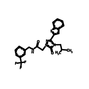 CC(C)Cn1c(-c2cc3ccccc3s2)nn(CC(=O)NCc2cccc(C(F)(F)F)c2)c1=O